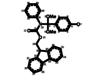 COC(OC)(c1ccc([O])cc1)N(C(=O)OCC1c2ccccc2-c2ccccc21)c1ccccc1